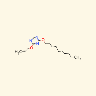 C=CCOc1ncnc(OCCCCCCCCCC)n1